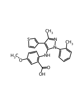 COc1ccc(Nc2c(-c3ccsc3)c(C)nn2-c2ccccc2C)c(C(=O)O)c1